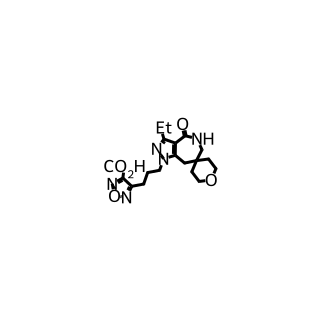 CCc1nn(CCCc2nonc2C(=O)O)c2c1C(=O)NCC1(CCOCC1)C2